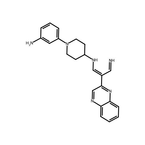 N=C/C(=C\NC1CCN(c2cccc(N)c2)CC1)c1cnc2ccccc2n1